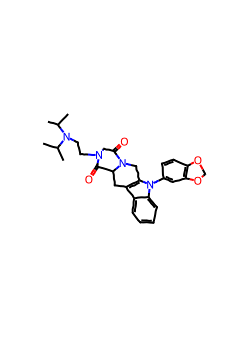 CC(C)N(CCN1CC(=O)N2Cc3c(c4ccccc4n3-c3ccc4c(c3)OCO4)CC2C1=O)C(C)C